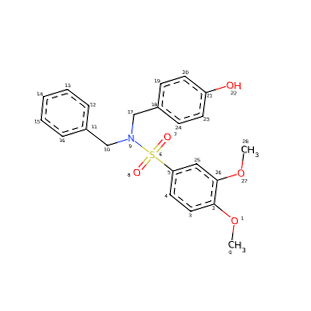 COc1ccc(S(=O)(=O)N(Cc2ccccc2)Cc2ccc(O)cc2)cc1OC